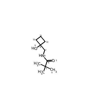 CC(C)(C)C(=O)NCC1(O)CCC1